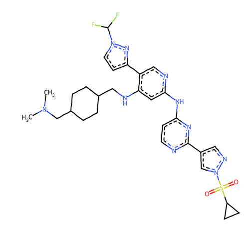 CN(C)CC1CCC(CNc2cc(Nc3ccnc(-c4cnn(S(=O)(=O)C5CC5)c4)n3)ncc2-c2ccn(C(F)F)n2)CC1